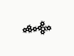 c1ccc2c(c1)-c1nc3ccccc3nc1-n1c3ccccc3c3cc(-c4ccc(-c5ccc6c7c(cccc57)-c5ccccc5-6)cc4)cc-2c31